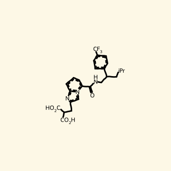 CC(C)CC(CNC(=O)c1cccc2nc(CC(C(=O)O)C(=O)O)cn12)c1ccc(C(F)(F)F)cc1